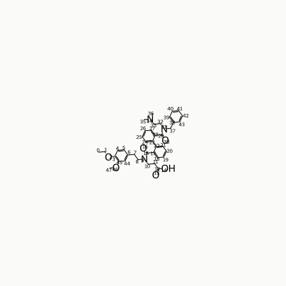 CCOc1ccc(CCN(CCC(=O)O)C(=O)c2ccccc2-c2ccccc2C(=O)N(CCN(C)C)Cc2ccccc2)cc1OC